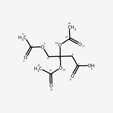 CC(=O)OCC(CC(=O)O)(OC(C)=O)OC(C)=O